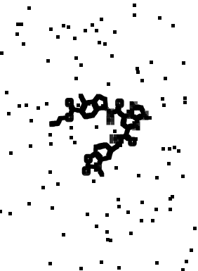 C=CCOC(=O)c1ccc2c(c1C)CC[C@@H]2NC(=O)c1cc(C(=O)NCc2ccc3oc(=O)n(C)c3c2)nc2ncnn12